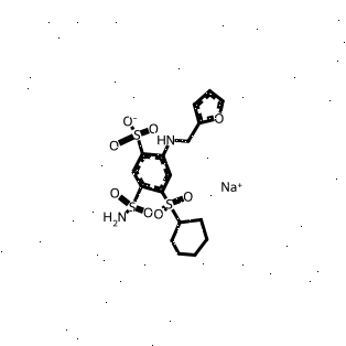 NS(=O)(=O)c1cc(S(=O)(=O)[O-])c(NCc2ccco2)cc1S(=O)(=O)C1CCCCC1.[Na+]